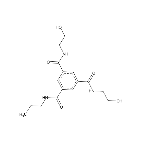 CCCNC(=O)c1cc(C(=O)NCCO)cc(C(=O)NCCO)c1